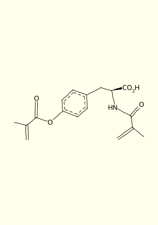 C=C(C)C(=O)N[C@@H](Cc1ccc(OC(=O)C(=C)C)cc1)C(=O)O